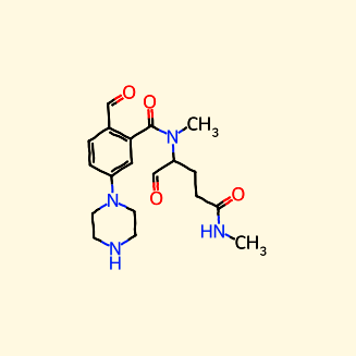 CNC(=O)CCC(C=O)N(C)C(=O)c1cc(N2CCNCC2)ccc1C=O